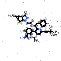 CSC(C)(C)C#Cc1ccc(-c2ccc(Cl)c3c(N)nn(CC(F)(F)F)c23)c(C(Cc2cc(F)cc(F)c2)NC(=O)CN2N=C(C(F)(F)F)C3C4C(C)C4C(F)(F)C32)n1